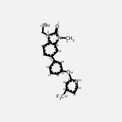 Cn1c(=O)n(CC(C)(C)C)c2ccc(-c3cccc(Oc4cc(C(F)(F)F)ccn4)c3)cc21